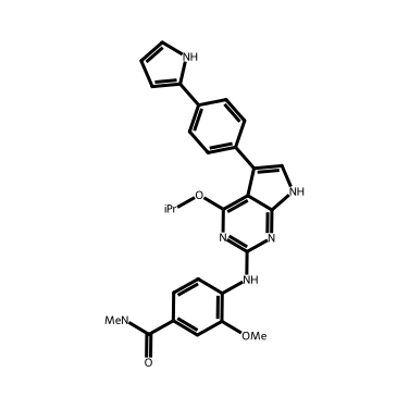 CNC(=O)c1ccc(Nc2nc(OC(C)C)c3c(-c4ccc(-c5ccc[nH]5)cc4)c[nH]c3n2)c(OC)c1